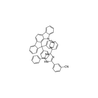 N#Cc1cccc(C2=NC(c3cccc(-n4c5ccccc5c5ccc6c(c54)C(c4ccccc4)(c4ccccc4)c4ccccc4-6)c3)=NC(c3ccccc3)N2)c1